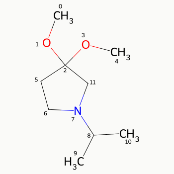 COC1(OC)CCN(C(C)C)C1